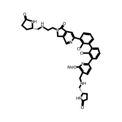 COc1nc(-c2cccc(-c3cccc(-c4cc5c(cn4)CN(CCNC[C@@H]4CCC(=O)N4)C5=O)c3Cl)c2Cl)ccc1CNC[C@@H]1CCC(=O)N1